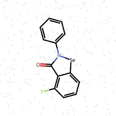 O=c1c2c(F)cccc2[se]n1-c1ccccc1